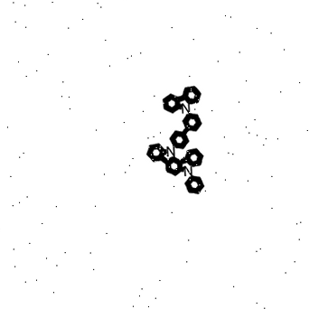 c1ccc(-n2c3ccccc3c3c2ccc2c4ccccc4n(-c4ccc(-c5cccc(-n6c7ccccc7c7ccccc76)c5)cc4)c23)cc1